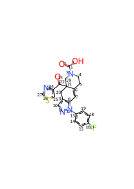 O=C(O)N1CCC2=Cc3c(cnn3-c3ccc(F)cc3)CC2(C(=O)c2cscn2)C1